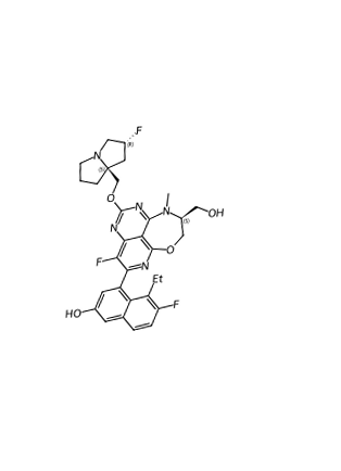 CCc1c(F)ccc2cc(O)cc(-c3nc4c5c(nc(OC[C@@]67CCCN6C[C@H](F)C7)nc5c3F)N(C)[C@@H](CO)CO4)c12